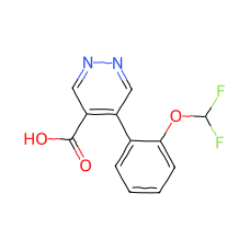 O=C(O)c1cnncc1-c1ccccc1OC(F)F